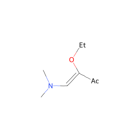 CCO/C(=C\N(C)C)C(C)=O